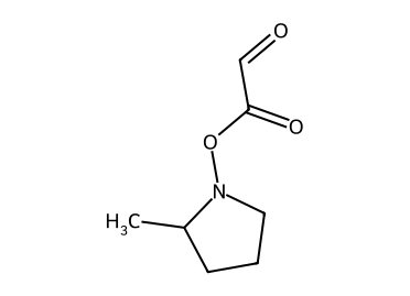 CC1CCCN1OC(=O)C=O